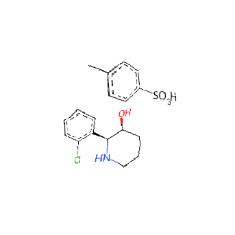 Cc1ccc(S(=O)(=O)O)cc1.O[C@H]1CCCN[C@H]1c1ccccc1Cl